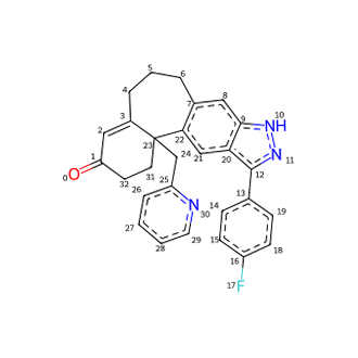 O=C1C=C2CCCc3cc4[nH]nc(-c5ccc(F)cc5)c4cc3C2(Cc2ccccn2)CC1